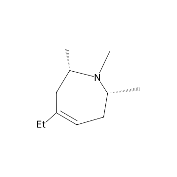 CCC1=CC[C@@H](C)N(C)[C@@H](C)C1